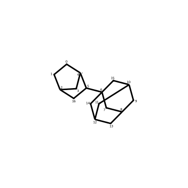 C1CC2C[C]1C(C13CC4CC(CC(C4)C1)C3)C2